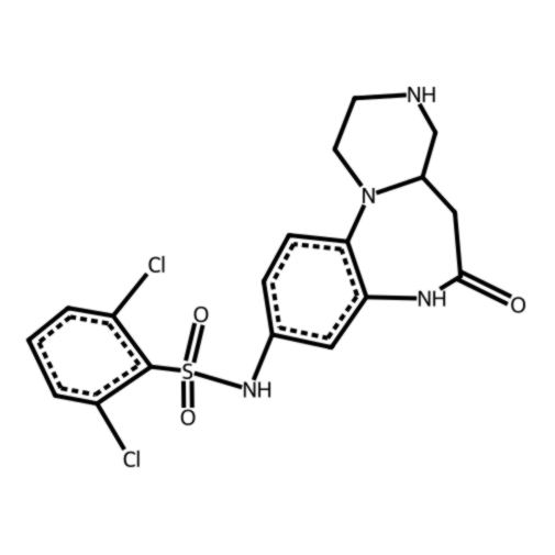 O=C1CC2CNCCN2c2ccc(NS(=O)(=O)c3c(Cl)cccc3Cl)cc2N1